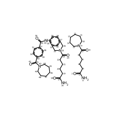 NC(=O)CCCCC(=O)N1CCCCCC1.NC(=O)CCCCC(=O)N1Cc2cccc(c2)C1.NC(=O)c1ccc(C(=O)N2CCCCCC2)cc1